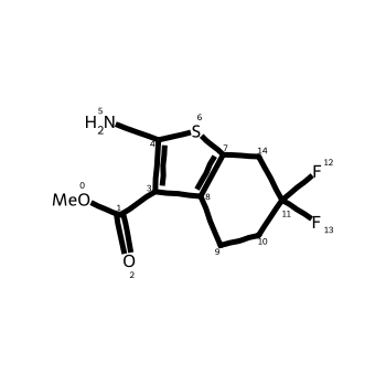 COC(=O)c1c(N)sc2c1CCC(F)(F)C2